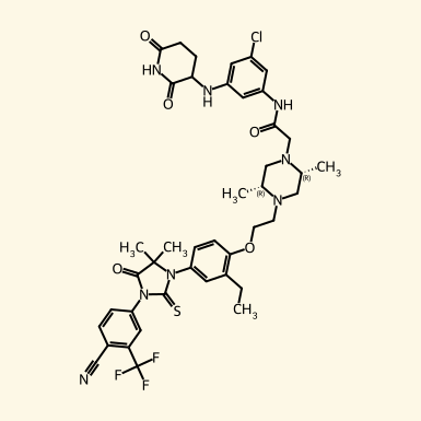 CCc1cc(N2C(=S)N(c3ccc(C#N)c(C(F)(F)F)c3)C(=O)C2(C)C)ccc1OCCN1C[C@@H](C)N(CC(=O)Nc2cc(Cl)cc(NC3CCC(=O)NC3=O)c2)C[C@H]1C